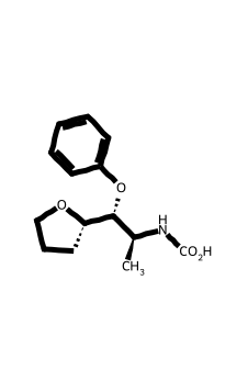 C[C@H](NC(=O)O)[C@@H](Oc1ccccc1)[C@@H]1CCCO1